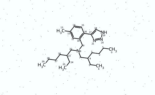 CCCCC(CC)CN(Cc1cc(C)ccc1-c1c[nH]nn1)CC(CC)CCCC